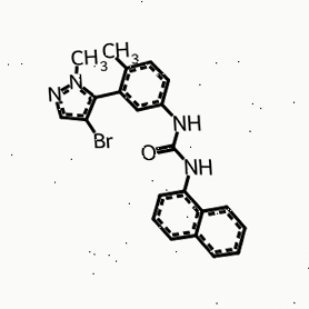 Cc1ccc(NC(=O)Nc2cccc3ccccc23)cc1-c1c(Br)cnn1C